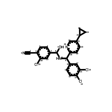 N#Cc1ccc(C(O)NC(c2ccc(Cl)c(Cl)c2)c2ccc(C3CC3)cn2)cc1Cl